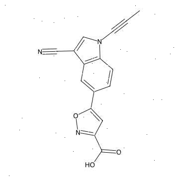 CC#Cn1cc(C#N)c2cc(-c3cc(C(=O)O)no3)ccc21